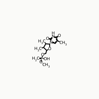 C=P(O)(OC)OCC1OC(n2cc(C)c(=O)[nH]c2=O)C(C)C1C